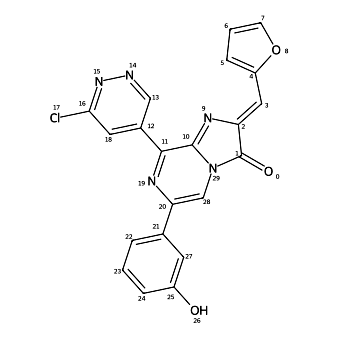 O=C1/C(=C/c2ccco2)N=C2C(c3cnnc(Cl)c3)=NC(c3cccc(O)c3)=CN12